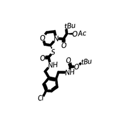 CC(=O)O[C@@H](C(=O)N1CCOC[C@H]1SC(=O)NCc1cc(Cl)ccc1CNC(=O)OC(C)(C)C)C(C)(C)C